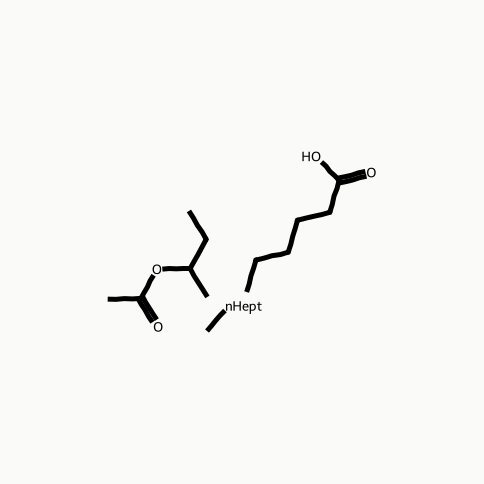 CCC(C)OC(C)=O.CCCCCC(=O)O.CCCCCCCC